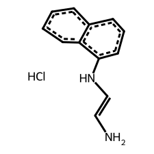 Cl.NC=CNc1cccc2ccccc12